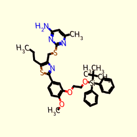 CCCc1sc(-c2ccc(OC)c(OCCO[Si](c3ccccc3)(c3ccccc3)C(C)(C)C)c2)nc1CSc1nc(C)cc(N)n1